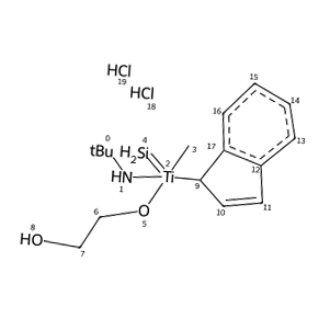 CC(C)(C)[NH][Ti]([CH3])(=[SiH2])([O]CCO)[CH]1C=Cc2ccccc21.Cl.Cl